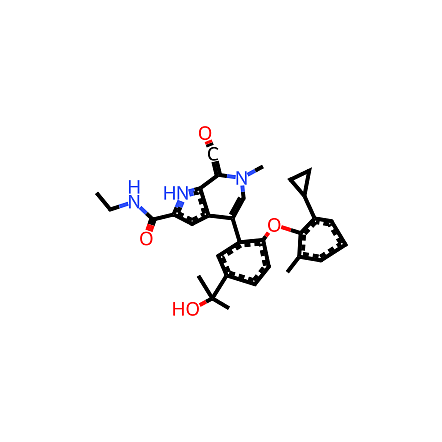 CCNC(=O)c1cc2c([nH]1)C(=C=O)N(C)C=C2c1cc(C(C)(C)O)ccc1Oc1c(C)cccc1C1CC1